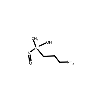 C[N+](O)(CCCN)N=O